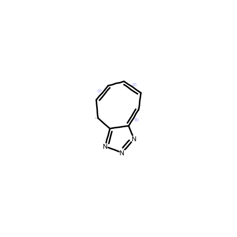 [CH]1\C=C/C=C\C=C2\N=NN=C12